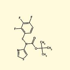 CC(C)(C)OC(=O)N(Sc1ccc(F)c(F)c1F)c1cscn1